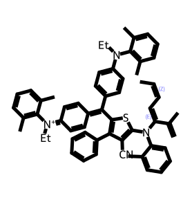 C=C(C)/C(=C\C=C/C)N(c1ccccc1C)c1sc(C(=C2C=CC(=[N+](CC)c3c(C)cccc3C)C=C2)c2ccc(N(CC)c3c(C)cccc3C)cc2)c(-c2ccccc2)c1C#N